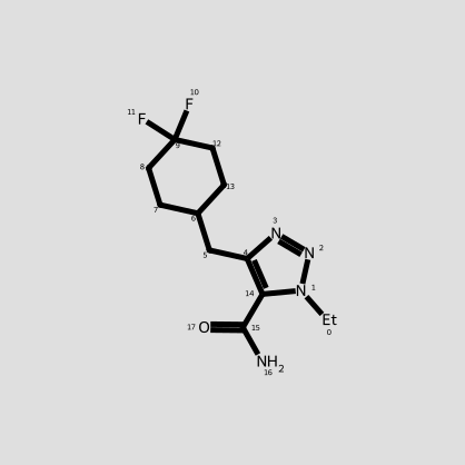 CCn1nnc(CC2CCC(F)(F)CC2)c1C(N)=O